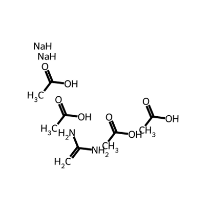 C=C(N)N.CC(=O)O.CC(=O)O.CC(=O)O.CC(=O)O.[NaH].[NaH]